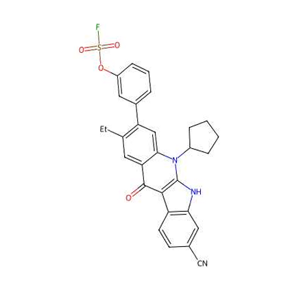 CCc1cc2c(=O)c3c4ccc(C#N)cc4[nH]c3n(C3CCCC3)c2cc1-c1cccc(OS(=O)(=O)F)c1